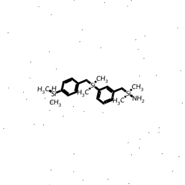 C[SiH](C)c1ccc(C[Si](C)(C)c2cccc(C[Si](C)(C)N)c2)cc1